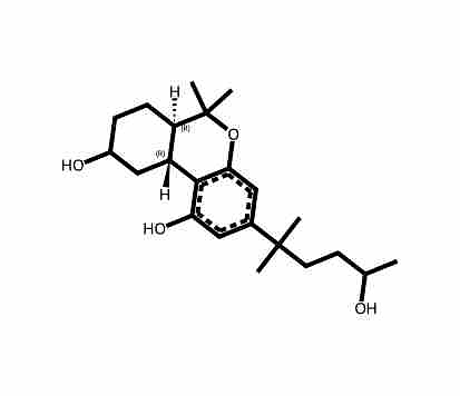 CC(O)CCC(C)(C)c1cc(O)c2c(c1)OC(C)(C)[C@@H]1CCC(O)C[C@@H]21